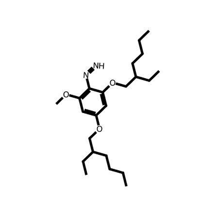 CCCCC(CC)COc1cc(OC)c(N=N)c(OCC(CC)CCCC)c1